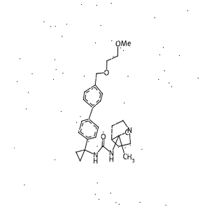 COCCOCc1ccc(-c2ccc(C3(NC(=O)NC4(C)CN5CCC4CC5)CC3)cc2)cc1